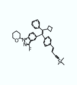 C[Si](C)(C)C#CC=Cc1ccc(C(=C(c2ccccc2)C2CCC2)c2ccc3c(c2)c(F)nn3C2CCCCO2)cc1